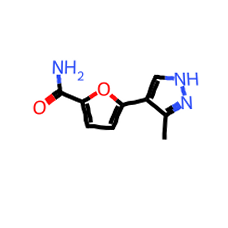 Cc1n[nH]cc1-c1ccc(C(N)=O)o1